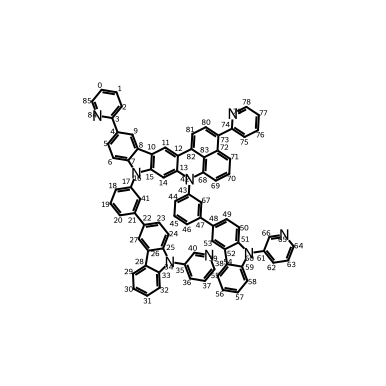 c1ccc(-c2ccc3c(c2)c2cc4c(cc2n3-c2cccc(-c3ccc5c(c3)c3ccccc3n5-c3cccnc3)c2)N(c2cccc(-c3ccc5c(c3)c3ccccc3n5-c3cccnc3)c2)c2cccc3c(-c5ccccn5)ccc-4c23)nc1